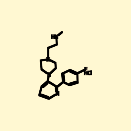 CNCCN1CCN(c2cccnc2-c2ccc(F)cc2)CC1.Cl